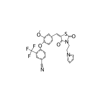 COc1cc(C=C2SC(=O)N(CCn3cccc3)C2=O)ccc1Oc1ccc(C#N)cc1C(F)(F)F